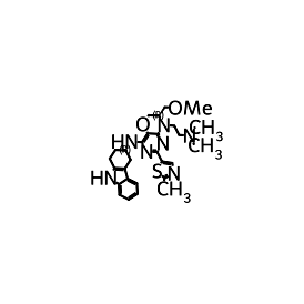 COC[C@@H]1COc2c(N[C@@H]3CCc4[nH]c5ccccc5c4C3)nc(-c3cnc(C)s3)nc2N1CCN(C)C